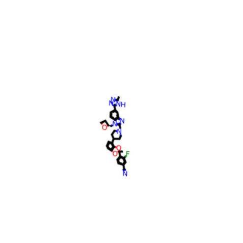 Cc1nnc(-c2ccc3c(c2)nc(CN2CCC(c4cccc5c4OC(C)(c4ccc(C#N)cc4F)O5)CC2)n3C[C@@H]2CCO2)[nH]1